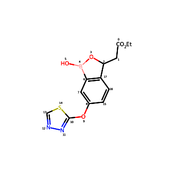 CCOC(=O)CC1OB(O)c2cc(Oc3nncs3)ccc21